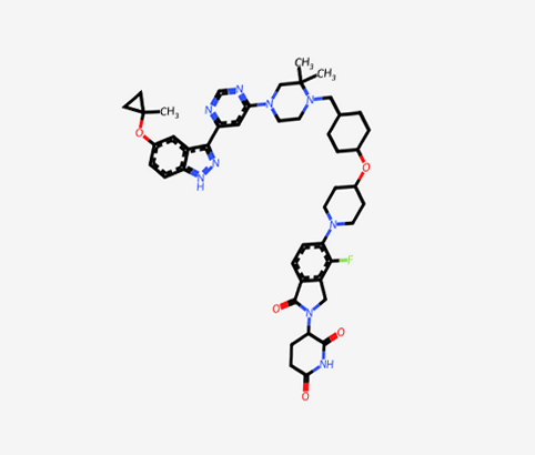 CC1(Oc2ccc3[nH]nc(-c4cc(N5CCN(CC6CCC(OC7CCN(c8ccc9c(c8F)CN(C8CCC(=O)NC8=O)C9=O)CC7)CC6)C(C)(C)C5)ncn4)c3c2)CC1